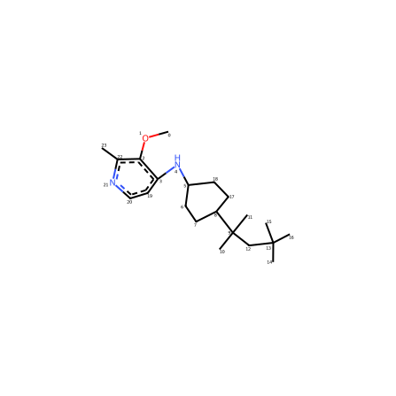 COc1c(NC2CCC(C(C)(C)CC(C)(C)C)CC2)ccnc1C